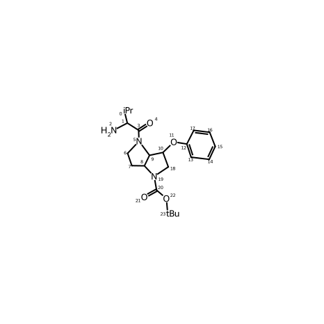 CC(C)C(N)C(=O)N1CCC2C1C(Oc1ccccc1)CN2C(=O)OC(C)(C)C